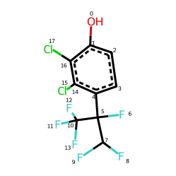 Oc1ccc(C(F)(C(F)F)C(F)(F)F)c(Cl)c1Cl